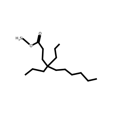 CCCCCCC(CCC)(CCC)CCC(=O)O[SiH3]